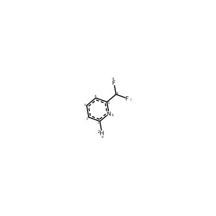 [2H]c1cccc(C(F)F)n1